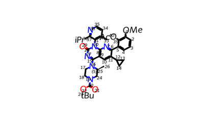 COc1cccc(-c2nc3c(cc2C2CC2)c(N2CCN(C(=O)OC(C)(C)C)C[C@@H]2C)nc(=O)n3-c2c(C)ccnc2C(C)C)c1OC(C)=O